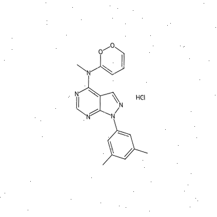 Cc1cc(C)cc(-n2ncc3c(N(C)C4=CC=COO4)ncnc32)c1.Cl